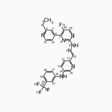 CCc1cc(-c2nc(N/N=C/c3ccc(Nc4cccc(C(F)(F)F)c4)cn3)ncc2F)ccn1